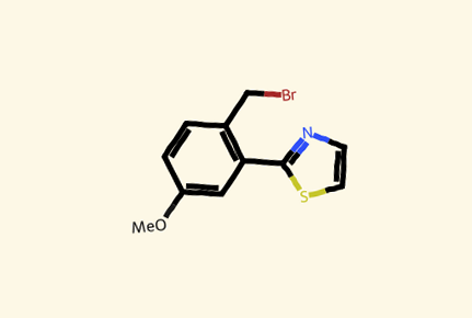 COc1ccc(CBr)c(-c2nccs2)c1